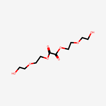 O=C(OCCOCCO)C(=O)OCCOCCO